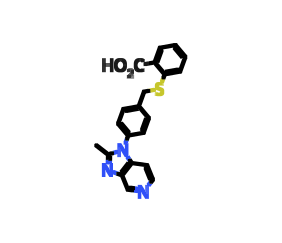 Cc1nc2cnccc2n1-c1ccc(CSc2ccccc2C(=O)O)cc1